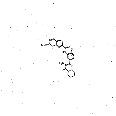 COC1N=Cc2ccc(C(=O)Nc3cc(C(=O)N(N)C(C)C4CCCCC4)ccc3Cl)nc2N1